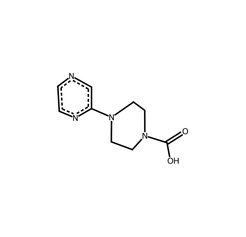 O=C(O)N1CCN(c2cnccn2)CC1